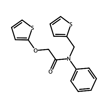 O=C(COc1cccs1)N(Cc1cccs1)c1ccccc1